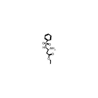 CCOC(=O)C[C@@H](N)NS(=O)(=O)c1ccccc1